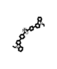 CCn1c2ccccc2c2cc(-c3ccc(-c4nnc(-c5ccc(-c6ccc7c(c6)c6ccccc6n7CC)cc5)o4)cc3)ccc21